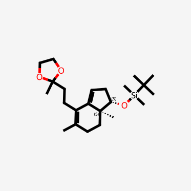 CC1=C(CCC2(C)OCCO2)C2=CC[C@H](O[Si](C)(C)C(C)(C)C)[C@@]2(C)CC1